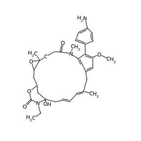 CCN1C(=O)OC2CC3OC3(C)CCC(=O)N(C)c3cc(cc(OC)c3-c3ccc(N)cc3)C/C(C)=C/C=C/C[C@@]1(O)C2